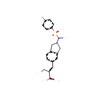 CC/C(=C\c1ccc2c(c1)CC(C(N)S(=O)(=O)c1ccc(Cl)cc1)C2)C(=O)O